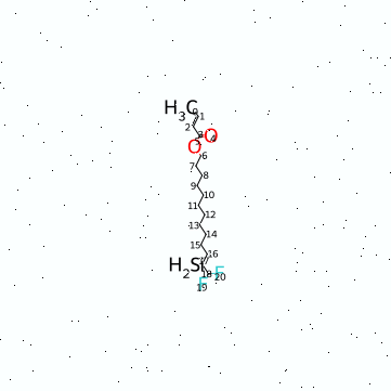 CC=CC(=O)OCCCCCCCCCCC[SiH2]C(F)F